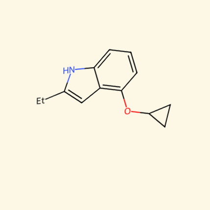 CCc1cc2c(OC3CC3)cccc2[nH]1